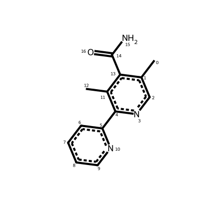 Cc1cnc(-c2ccccn2)c(C)c1C(N)=O